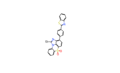 CCc1nc2c(-c3ccc(-c4nc5ccccc5s4)cc3)ccc3c2n1-c1ccccc1S3(=O)=O